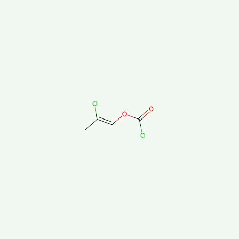 CC(Cl)=COC(=O)Cl